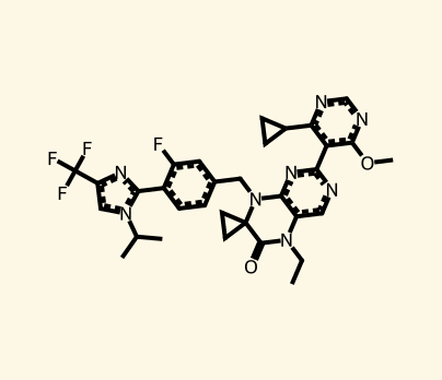 CCN1C(=O)C2(CC2)N(Cc2ccc(-c3nc(C(F)(F)F)cn3C(C)C)c(F)c2)c2nc(-c3c(OC)ncnc3C3CC3)ncc21